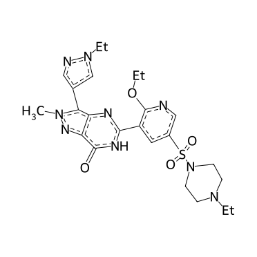 CCOc1ncc(S(=O)(=O)N2CCN(CC)CC2)cc1-c1nc2c(-c3cnn(CC)c3)n(C)nc2c(=O)[nH]1